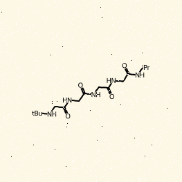 CC(C)NC(=O)CNC(=O)CNC(=O)CNC(=O)CNC(C)(C)C